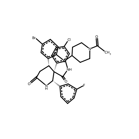 CC(=O)N1CCC(Oc2ccc(Br)cc2[C@H]2CC(=O)N[C@@H](c3cccc(F)c3)[C@]23C(=O)Nc2cc(Cl)ccc23)CC1